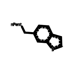 CCCCCCc1ccc2c[c]sc2c1